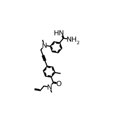 C=CCN(C)C(=O)c1ccc(C#CCN(C)c2cccc(C(=N)N)c2)cc1C